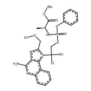 CCCCOC(=O)[C@H](C)NP(=O)(OCC(O)(CC)n1c(COCC)nc2c(N)nc3ccccc3c21)Oc1ccccc1